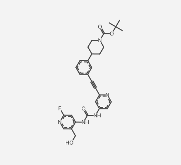 CC(C)(C)OC(=O)N1CCC(c2cccc(C#Cc3cc(NC(=O)Nc4cc(F)ncc4CO)ccn3)c2)CC1